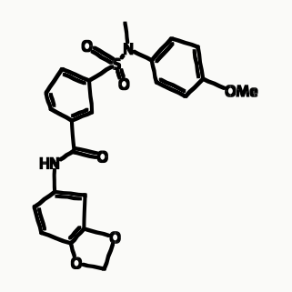 COc1ccc(N(C)S(=O)(=O)c2cccc(C(=O)Nc3ccc4c(c3)OCO4)c2)cc1